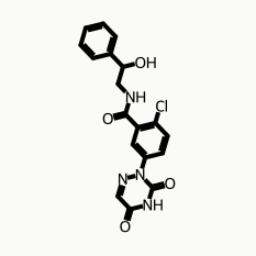 O=C(NCC(O)c1ccccc1)c1cc(-n2ncc(=O)[nH]c2=O)ccc1Cl